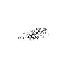 CCOC(=O)c1sc2[nH]c(=O)n(C(C)(C)C(=O)OC(C)(C)O)c(=O)c2c1C